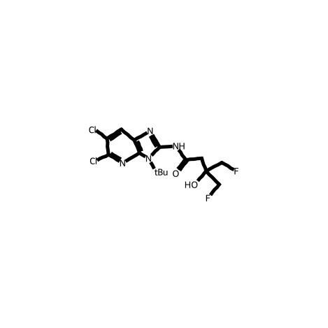 CC(C)(C)n1c(NC(=O)CC(O)(CF)CF)nc2cc(Cl)c(Cl)nc21